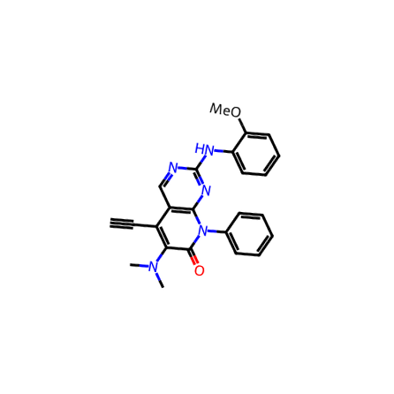 C#Cc1c(N(C)C)c(=O)n(-c2ccccc2)c2nc(Nc3ccccc3OC)ncc12